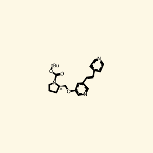 CC(C)(C)OC(=O)N1CCC[C@@H]1COc1cncc(C=Cc2ccncc2)c1